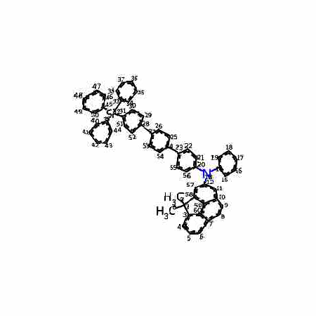 CC1(C)c2cccc3ccc4cc(N(c5ccccc5)c5ccc(-c6ccc(-c7ccc([Si](c8ccccc8)(c8ccccc8)c8ccccc8)cc7)cc6)cc5)cc1c4c23